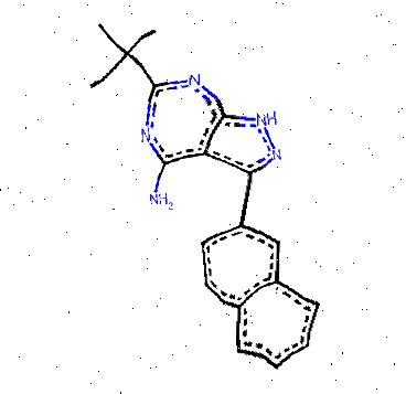 CC(C)(C)c1nc(N)c2c(-c3ccc4ccccc4c3)n[nH]c2n1